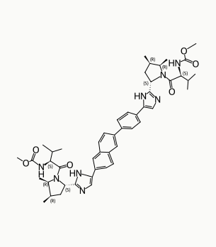 COC(=O)N[C@H](C(=O)N1[C@H](C)[C@H](C)C[C@H]1c1ncc(-c2ccc(-c3ccc4cc(-c5cnc([C@@H]6C[C@@H](C)[C@@H](C)N6C(=O)[C@@H](NC(=O)OC)C(C)C)[nH]5)ccc4c3)cc2)[nH]1)C(C)C